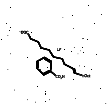 CCCCCCCCC=CCCCCCCCC(=O)[O-].O=C(O)c1ccccc1.[Li+]